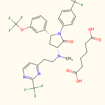 CN(CCc1ccnc(C(F)(F)F)n1)[C@@H]1C[C@H](c2cccc(OC(F)(F)F)c2)N(c2ccc(C(F)(F)F)cc2)C1=O.O=C(O)CCCCC(=O)O